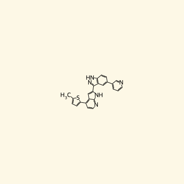 Cc1ccc(-c2ccnc3[nH]c(-c4n[nH]c5ccc(-c6cccnc6)cc45)cc23)s1